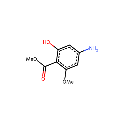 COC(=O)c1c(O)cc(N)cc1OC